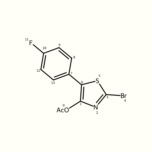 CC(=O)Oc1nc(Br)sc1-c1ccc(F)cc1